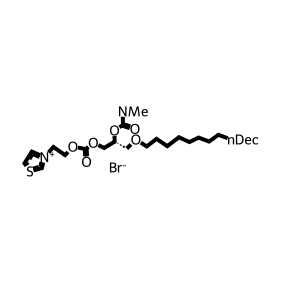 CCCCCCCCCCCCCCCCCCOC[C@H](COC(=O)OCC[n+]1ccsc1)OC(=O)NC.[Br-]